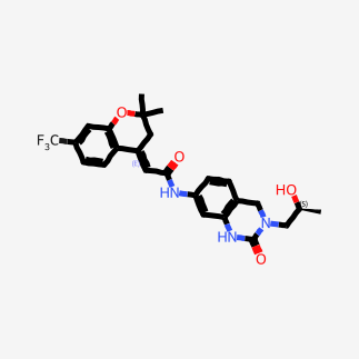 C[C@H](O)CN1Cc2ccc(NC(=O)/C=C3\CC(C)(C)Oc4cc(C(F)(F)F)ccc43)cc2NC1=O